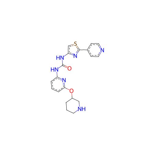 O=C(Nc1cccc(OC2CCCNC2)n1)Nc1csc(-c2ccncc2)n1